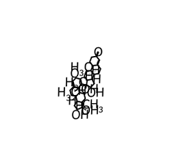 C[C@]12CC[C@H]3[C@@H](CCC4=CC(=O)CC(C5(O)C(O)C[C@H]6[C@@H]7CCC8=CC(=O)CC[C@]8(C)[C@@H]7CC[C@@]65C)[C@@]43C)[C@@H]1CC(O)[C@@H]2O